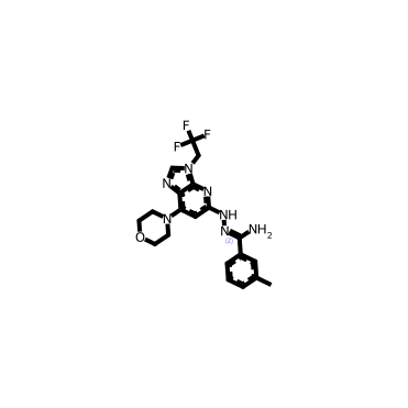 Cc1cccc(/C(N)=N/Nc2cc(N3CCOCC3)c3ncn(CC(F)(F)F)c3n2)c1